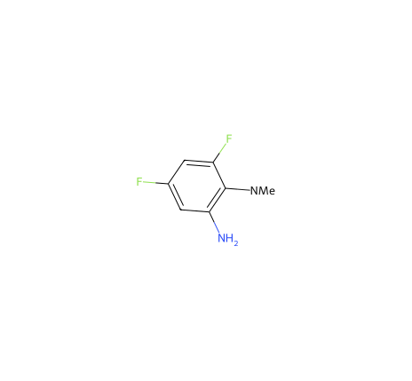 CNc1c(N)cc(F)cc1F